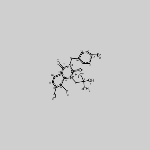 CC(C)(O)Cn1c(=O)n(Cc2ccc(Br)cc2)c(=O)c2ccc(Cl)c(F)c21